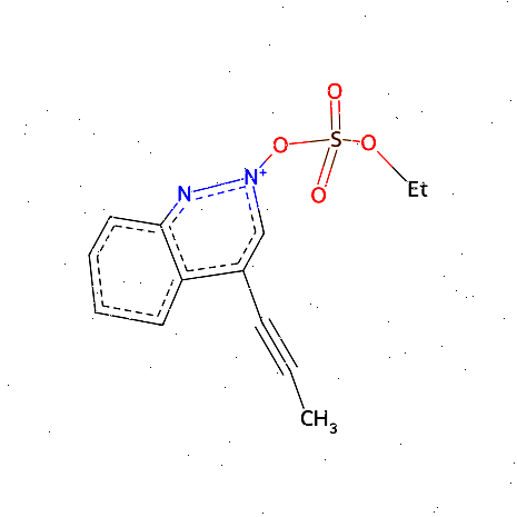 CC#Cc1c[n+](OS(=O)(=O)OCC)nc2ccccc12